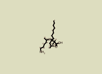 CCCCCCCCC(CC(C)O)(NC(C)CCCCN)C(C)(C)C(=O)O